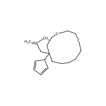 C[SiH](C)CC1(C2C=CC=C2)CCCCCCCCCCC1